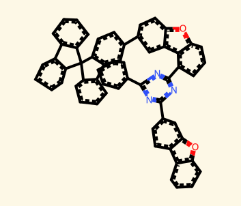 c1ccc(-c2nc(-c3ccc4c(c3)oc3ccccc34)nc(-c3cccc4oc5ccc(-c6ccc7c(c6)-c6ccccc6C76c7ccccc7-c7ccccc76)cc5c34)n2)cc1